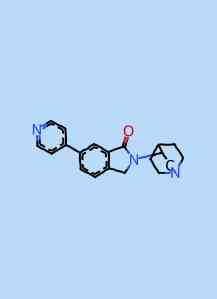 O=C1c2cc(-c3ccncc3)ccc2CN1C1CN2CCC1CC2